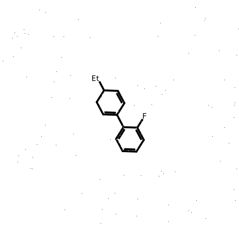 CCC1C=CC(c2ccccc2F)=CC1